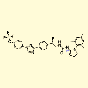 Cc1cc(C)c(N2CCS/C2=N\C(=O)NCC(F)c2ccc(-c3ncn(-c4ccc(OC(F)(F)F)cc4)n3)cc2)c(C)c1